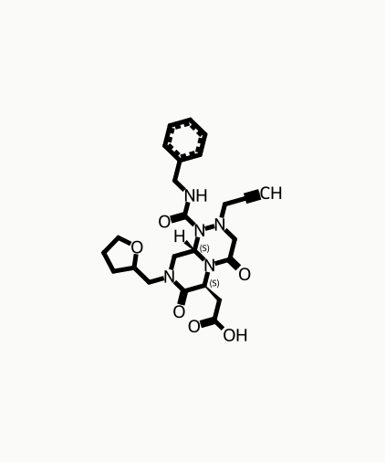 C#CCN1CC(=O)N2[C@@H](CC(=O)O)C(=O)N(CC3CCCO3)C[C@@H]2N1C(=O)NCc1ccccc1